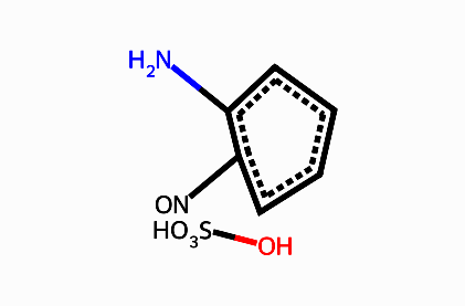 Nc1ccccc1N=O.O=S(=O)(O)O